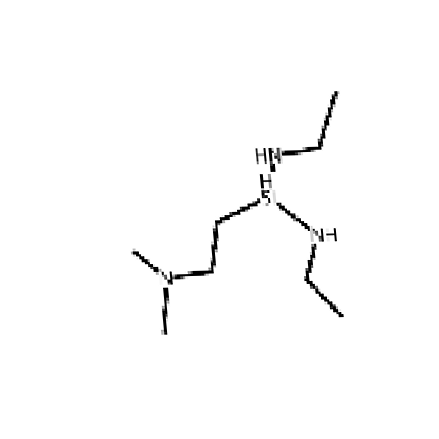 CCN[SiH](CCN(C)C)NCC